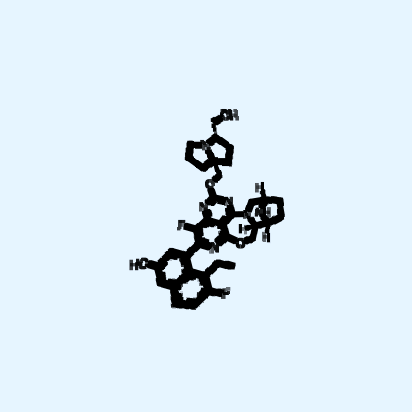 CCc1c(F)ccc2cc(O)cc(-c3nc4c5c(nc(OC[C@@]67CCCN6[C@H](CO)CC7)nc5c3F)N3C[C@@H]5CC[C@@H](N5)[C@@H]3CO4)c12